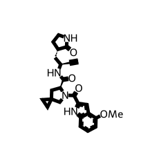 C#C[C@H](C[C@@H]1CCNC1=O)NC(=O)[C@@H]1CC2(CC2)CN1C(=O)c1cc2c(OC)cccc2[nH]1